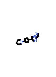 [c]1cnn2cc(-c3ccc(N4CCCCC4)cc3)cnc12